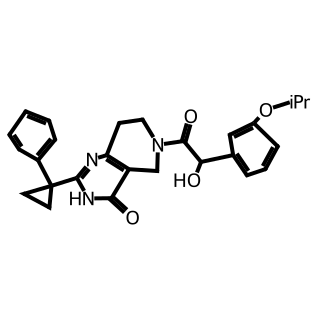 CC(C)Oc1cccc(C(O)C(=O)N2CCc3nc(C4(c5ccccc5)CC4)[nH]c(=O)c3C2)c1